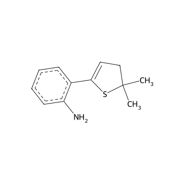 CC1(C)CC=C(c2ccccc2N)S1